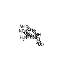 CCCCOc1nc(N)c2cc(C#N)n(Cc3ccc(CN4CCC(NC(=O)C5CCC(CN6C(=O)C=CC6=O)CC5)CC4)cc3OC)c2n1